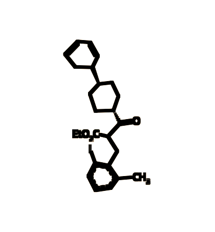 CCOC(=O)C(Cc1c(C)cccc1I)C(=O)[C@H]1CC[C@H](C2C=CC=CC2)CC1